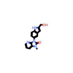 Cn1c(=O)n(-c2ccc3[nH]c(CO)cc3c2)c2ncccc21